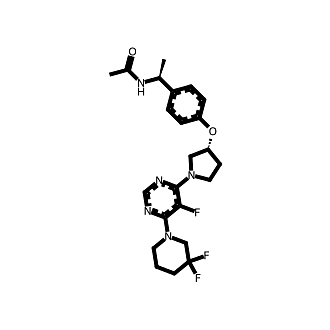 CC(=O)N[C@@H](C)c1ccc(O[C@@H]2CCN(c3ncnc(N4CCCC(F)(F)C4)c3F)C2)cc1